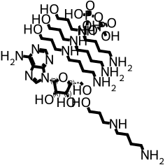 NCCCCNCCCO.NCCCCNCCCO.NCCCCNCCCO.NCCCCNCCCO.Nc1ncnc2c1ncn2[C@@H]1O[C@H](CO)[C@@H](O)[C@H]1O.O=P(O)(O)OP(=O)(O)O